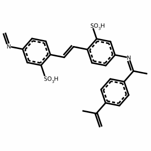 C=Nc1ccc(/C=C/c2ccc(N=C(C)c3ccc(C(=C)C)cc3)cc2S(=O)(=O)O)c(S(=O)(=O)O)c1